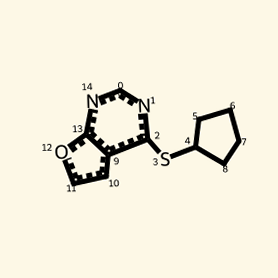 c1nc(SC2CCCC2)c2ccoc2n1